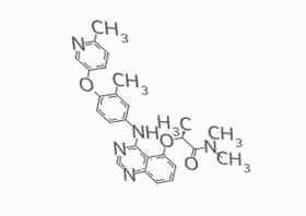 Cc1ccc(Oc2ccc(Nc3ncnc4cccc(O[C@@H](C)C(=O)N(C)C)c34)cc2C)cn1